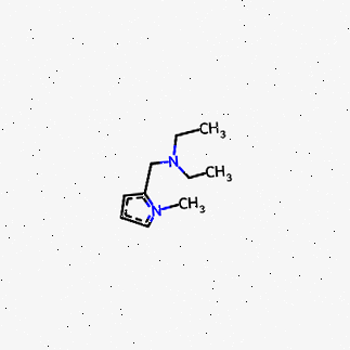 CCN(CC)Cc1cccn1C